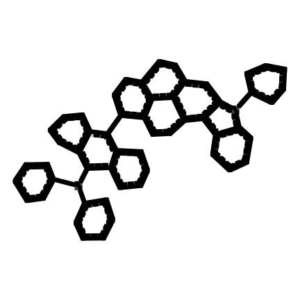 c1ccc(N(c2ccccc2)c2c3ccccc3c(-c3ccc4ccc5cc6c(c7ccc3c4c57)c3ccccc3n6-c3ccccc3)c3ccccc23)cc1